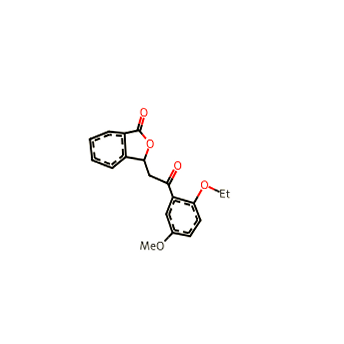 CCOc1ccc(OC)cc1C(=O)CC1OC(=O)c2ccccc21